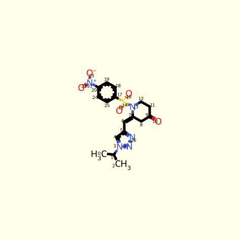 CC(C)n1cc(C=C2CC(=O)CCN2S(=O)(=O)c2ccc([N+](=O)[O-])cc2)nn1